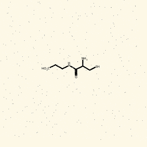 NC(CS)C(=O)NCCC(=O)O